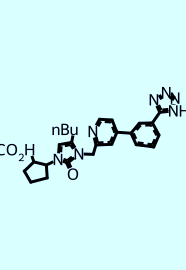 CCCCc1cn(C2CCCC2C(=O)O)c(=O)n1Cc1cc(-c2cccc(-c3nnn[nH]3)c2)ccn1